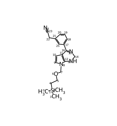 C[Si](C)(C)CCOCn1ccc2c1NCN=C2c1cccc(CC#N)c1